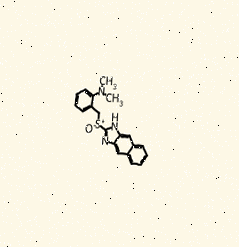 CN(C)c1ccccc1C[S+]([O-])c1nc2cc3ccccc3cc2[nH]1